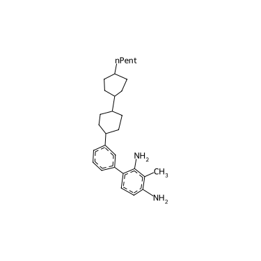 CCCCCC1CCC(C2CCC(c3cccc(-c4ccc(N)c(C)c4N)c3)CC2)CC1